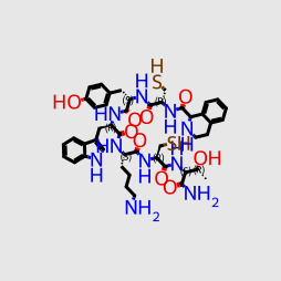 C[C@@H](O)[C@H](NC(=O)[C@H](CS)NC(=O)[C@H](CCCCN)NC(=O)[C@@H](Cc1c[nH]c2ccccc12)NC(=O)[C@H](Cc1ccc(O)cc1)NC(=O)[C@H](CS)NC(=O)C1NCCc2ccccc21)C(N)=O